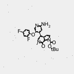 Cn1cc(-c2cc(N)ncc2Oc2ccc(F)cc2F)c2ccn(C(=O)OC(C)(C)C)c2c1=O